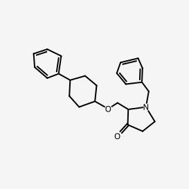 O=C1CCN(Cc2ccccc2)C1COC1CCC(c2ccccc2)CC1